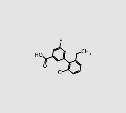 CCc1cccc(Cl)c1-c1cc(F)cc(C(=O)O)c1